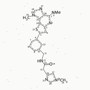 CNc1nc2cc(-c3cccc(CNC(=O)Cc4cn(C)cn4)c3)sc2c2c1ncn2C